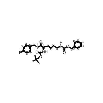 CC(C)(C)OC(=O)NC(CCCCNC(=O)OCc1ccccc1)C(=O)NCc1ccc(F)cc1